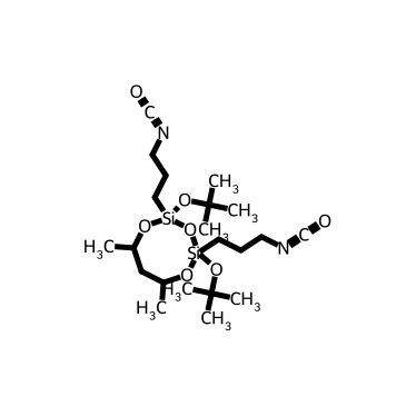 CC1CC(C)O[Si](CCCN=C=O)(OC(C)(C)C)O[Si](CCCN=C=O)(OC(C)(C)C)O1